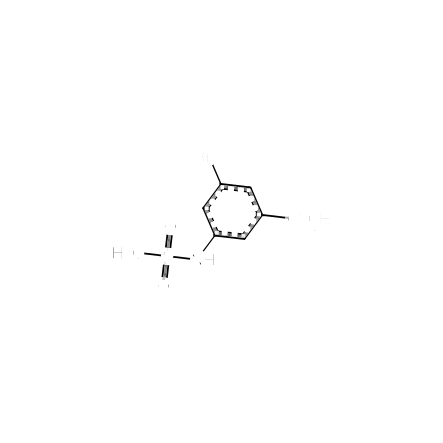 CS(=O)(=O)Nc1cc(Br)cc(C(=O)O)c1